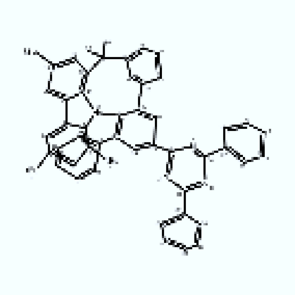 CC(C)(C)c1cc(C(C)(C)C)c2c(c1)c1cc(C(C)(C)C)cc3c1n2-c1c(-c2ccccc2)cc(-c2nc(-c4ccccc4)nc(-c4ccccc4)n2)cc1-c1cccc(c1)C3(C)C